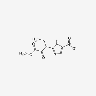 CCC(C(=O)C(=O)OC)c1ncc([N+](=O)[O-])[nH]1